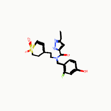 Cc1cc(C(=O)N(CCC2CCS(=O)(=O)CC2)Cc2ccc(O)cc2F)[nH]n1